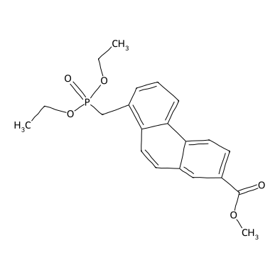 CCOP(=O)(Cc1cccc2c1ccc1cc(C(=O)OC)ccc12)OCC